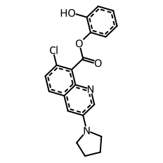 O=C(Oc1ccccc1O)c1c(Cl)ccc2cc(N3CCCC3)cnc12